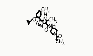 CCC(=O)N1CCC(NC(=O)c2c(C)[nH]c3c(-c4cc(C)ccc4OCC4CC4)ncnc23)CC1